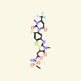 CCS(=O)(=O)NC(=O)CC1SC(=Nc2cc(-n3c(=O)cc(C(F)(F)F)n(C)c3=O)c(F)cc2Cl)N(C)C1=O